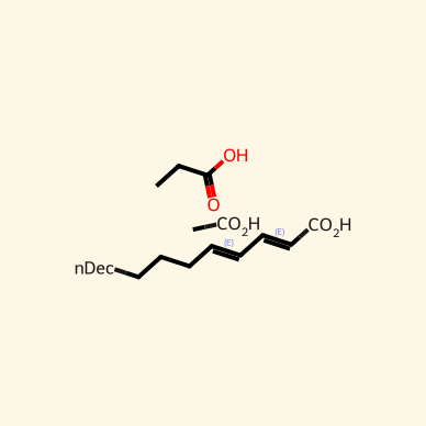 CC(=O)O.CCC(=O)O.CCCCCCCCCCCCC/C=C/C=C/C(=O)O